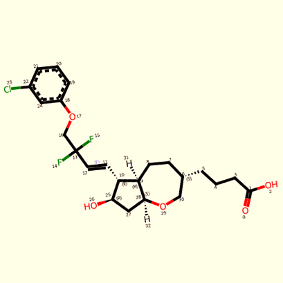 O=C(O)CCC[C@H]1CC[C@@H]2[C@@H](/C=C/C(F)(F)COc3cccc(Cl)c3)[C@H](O)C[C@@H]2OC1